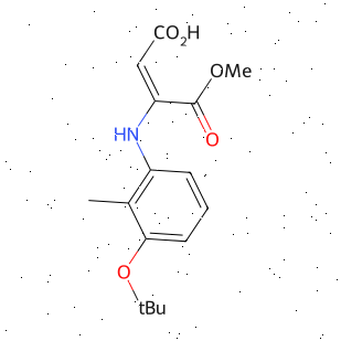 COC(=O)/C(=C\C(=O)O)Nc1cccc(OC(C)(C)C)c1C